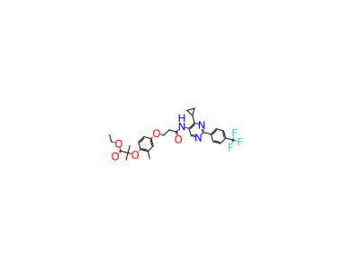 CCOC(=O)C(C)(C)Oc1ccc(OCCC(=O)Nc2cnc(-c3ccc(C(F)(F)F)cc3)nc2C2CC2)cc1C